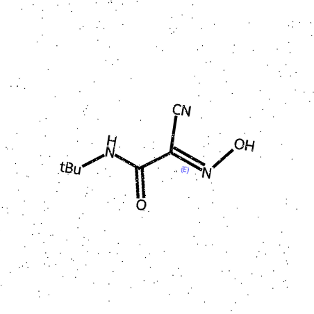 CC(C)(C)NC(=O)/C(C#N)=N/O